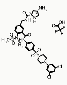 CN(c1ccc(CNC(=O)[C@@H]2C[C@H](N)CN2)cc1C(=O)Nc1ccc(S(=O)(=O)N2CCN(c3cc(Cl)cc(Cl)c3)CC2)cc1)S(C)(=O)=O.O=C(O)C(F)(F)F